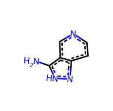 Nc1[nH]nc2ccncc12